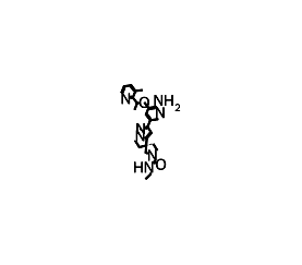 CCNC(=O)N1CC[C@@]2(CCn3nc(-c4cnc(N)c(OC(C)c5ncccc5C)c4)cc32)C1